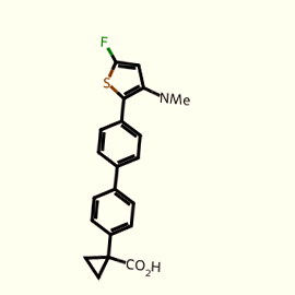 CNc1cc(F)sc1-c1ccc(-c2ccc(C3(C(=O)O)CC3)cc2)cc1